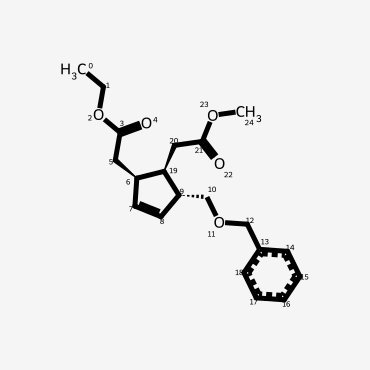 CCOC(=O)C[C@@H]1C=C[C@@H](COCc2ccccc2)[C@@H]1CC(=O)OC